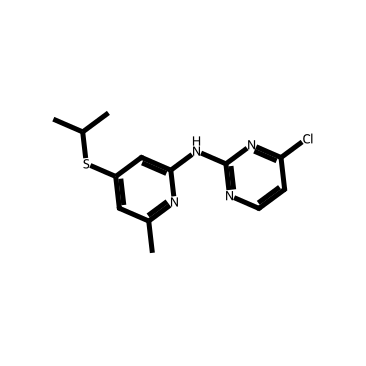 Cc1cc(SC(C)C)cc(Nc2nccc(Cl)n2)n1